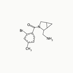 Cc1ccc(C(=O)N2CC3CC3C2CN)c(Br)c1